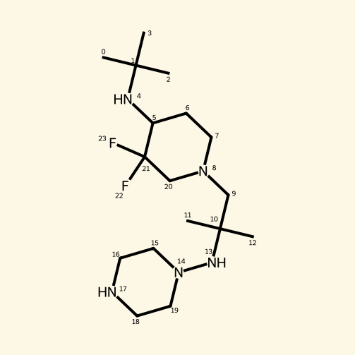 CC(C)(C)NC1CCN(CC(C)(C)NN2CCNCC2)CC1(F)F